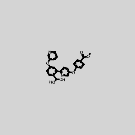 COC(=O)c1ccc(Oc2ccc(-c3cc(Oc4cccnc4)ccc3C(O)O)nc2)cc1